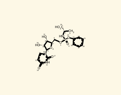 C[C@H](NP(=O)(OC[C@H]1O[C@@H](n2ccc(=O)[nH]c2=O)[C@H](O)[C@@H]1O)Oc1ccccc1)C(=O)O